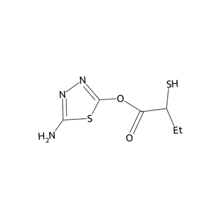 CCC(S)C(=O)Oc1nnc(N)s1